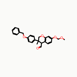 COCOc1ccc2c(c1)OCC(C)(c1ccc(OCc3ccccc3)cc1)C2C=O